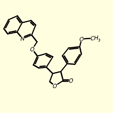 COc1ccc(C2C(=O)OCC2c2ccc(OCc3ccc4ccccc4n3)cc2)cc1